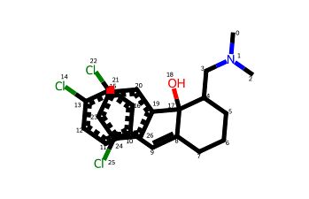 CN(C)CC1CCC/C(=C/c2ccc(Cl)cc2)C1(O)c1cc(Cl)cc(Cl)c1